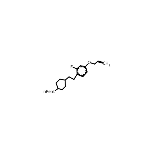 C=CCOc1ccc(CCC2CCC(CCCCC)CC2)c(F)c1